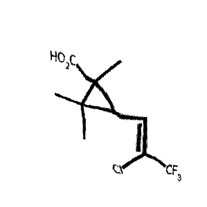 CC1(C)C(C=C(Cl)C(F)(F)F)C1(C)C(=O)O